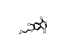 COCCSc1cc2[nH]cnc(=O)c2cc1Cl